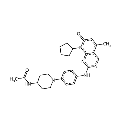 CC(=O)NC1CCN(c2ccc(Nc3ncc4c(C)cc(=O)n(C5CCCC5)c4n3)cc2)CC1